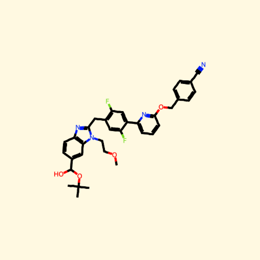 COCCn1c(Cc2cc(F)c(-c3cccc(OCc4ccc(C#N)cc4)n3)cc2F)nc2ccc(C(O)OC(C)(C)C)cc21